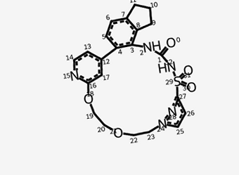 O=C1Nc2c(ccc3c2CCC3)-c2ccnc(c2)OCCOCCn2ccc(n2)S(=O)(=O)N1